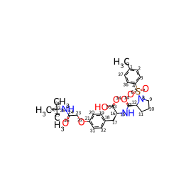 Cc1ccc(S(=O)(=O)N2CCC[C@H]2C(=O)N[C@@H](Cc2ccc(OCC(=O)NC(C)(C)C)cc2)C(=O)O)cc1